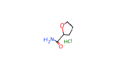 Cl.NC(=O)C1CCCO1